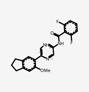 C=C(/C=N\C(=C/N)c1cc2c(cc1OC)CCC2)NC(=O)c1c(F)cccc1F